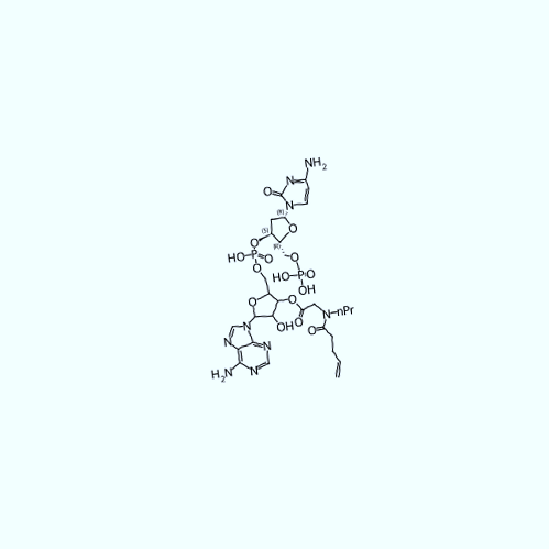 C=CCCC(=O)N(CCC)CC(=O)OC1C(COP(=O)(O)O[C@H]2C[C@H](n3ccc(N)nc3=O)O[C@@H]2COP(=O)(O)O)OC(n2cnc3c(N)ncnc32)C1O